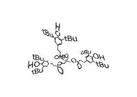 CC(C)(C)c1cc(CCC(=O)OCC(CO)(COC(=O)CCc2cc(C(C)(C)C)c(O)c(C(C)(C)C)c2)COC(=O)CCc2cc(C(C)(C)C)c(O)c(C(C)(C)C)c2)cc(C(C)(C)C)c1O